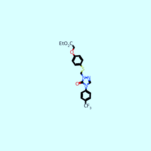 CCOC(=O)COc1ccc(SCn2ncn(-c3ccc(C(F)(F)F)cc3)c2=O)cc1